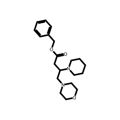 O=C(CC(CN1CCOCC1)N1CCCCC1)OCc1ccccc1